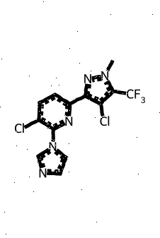 Cn1nc(-c2ccc(Cl)c(-n3ccnc3)n2)c(Cl)c1C(F)(F)F